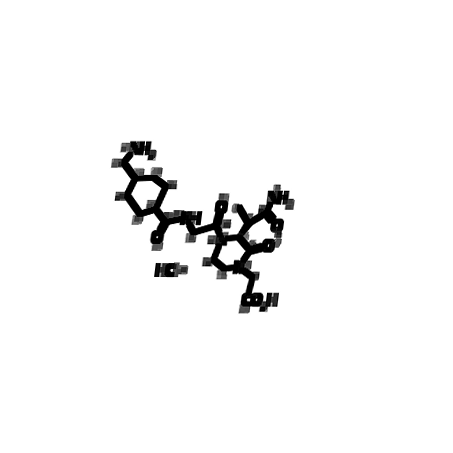 CC(C(N)=O)[C@H]1C(=O)N(CC(=O)O)CCN1C(=O)CNC(=O)C1CCC(CN)CC1.Cl